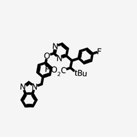 CC(C)(C)C(C(=O)O)C(c1ccc(F)cc1)c1ccnc(Oc2ccc(Cn3cnc4ccccc43)cc2)n1